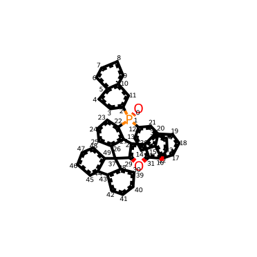 O=P(c1ccc2ccccc2c1)(c1ccc2ccccc2c1)c1cccc2c1-c1c(oc3ccccc13)C21c2ccccc2-c2ccccc21